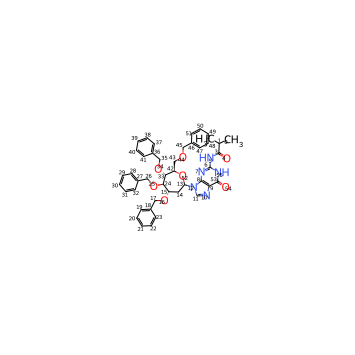 CC(C)C(=O)Nc1nc2c(ncn2C2C[C@H](OCc3ccccc3)[C@@H](OCc3ccccc3)[C@H](OCc3ccccc3)[C@@H](COCc3ccccc3)O2)c(=O)[nH]1